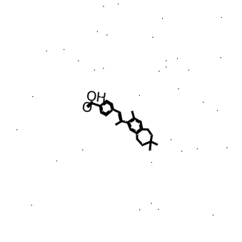 CC(=Cc1ccc(C(=O)O)cc1)c1cc2c(cc1C)CCC(C)(C)CC2